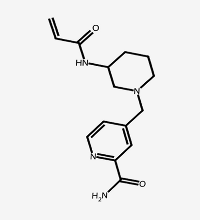 C=CC(=O)NC1CCCN(Cc2ccnc(C(N)=O)c2)C1